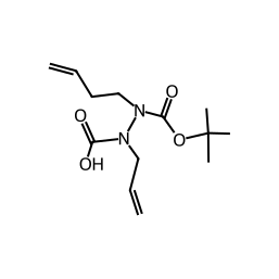 C=CCCN(C(=O)OC(C)(C)C)N(CC=C)C(=O)O